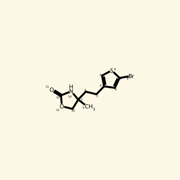 CC1(CCc2csc(Br)c2)COC(=O)N1